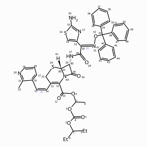 CCC(CC)OC(=O)OC(C)OC(=O)C1=C(/C=C\c2cccnc2C)CS[C@@H]2[C@H](NC(=O)/C(=N/OC(c3ccccc3)(c3ccccc3)c3ccccc3)c3csc(N)n3)C(=O)N12